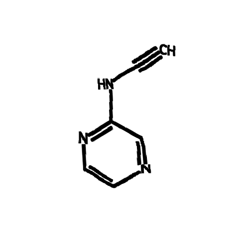 C#CNc1cnccn1